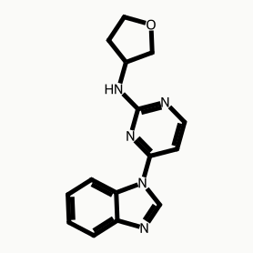 c1ccc2c(c1)ncn2-c1ccnc(NC2CCOC2)n1